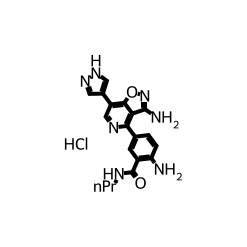 CCCNC(=O)c1cc(-c2ncc(-c3cn[nH]c3)c3onc(N)c23)ccc1N.Cl